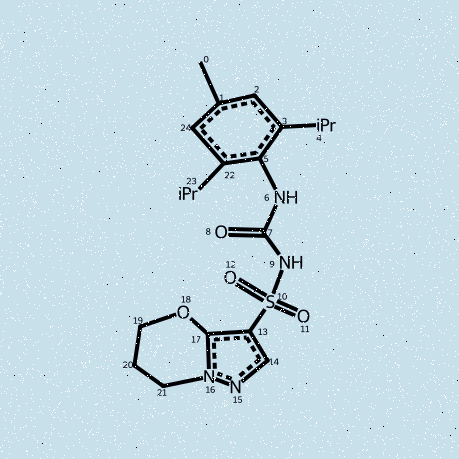 Cc1cc(C(C)C)c(NC(=O)NS(=O)(=O)c2cnn3c2OCCC3)c(C(C)C)c1